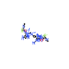 Cn1cnnc1-c1ccc(C#N)cc1-c1cc(NCC2CC2[N+]#Cc2ccc(-c3cc(NCCC#N)nc(N4Cc5c(cc(CN6CCC7(CC7)C6)cc5C(F)(F)F)C4=O)c3)c(-c3nncn3C)c2)nc(N2Cc3c(cc(CN4CCC5(CC5)C4)cc3C(F)(F)F)C2=O)c1